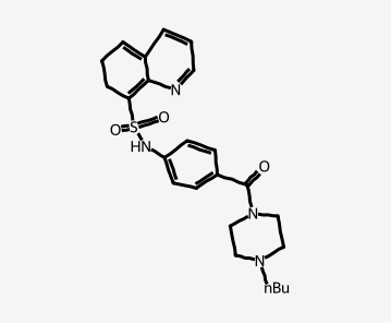 CCCCN1CCN(C(=O)c2ccc(NS(=O)(=O)C3=c4ncccc4=CCC3)cc2)CC1